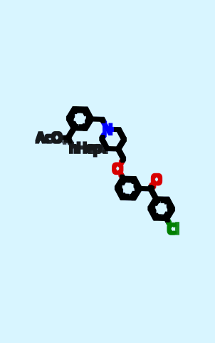 CCCCCCC[C@@H](OC(C)=O)c1cccc(CN2CCC(COc3cccc(C(=O)c4ccc(Cl)cc4)c3)CC2)c1